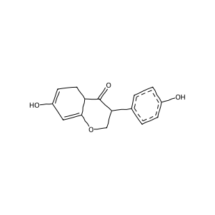 O=C1C2CC=C(O)C=C2OCC1c1ccc(O)cc1